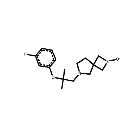 CC(C)(CN1CCC2(C1)C[S+]([O-])C2)Oc1cccc(F)c1